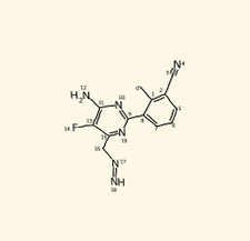 Cc1c(C#N)cccc1-c1nc(N)c(F)c(CN=N)n1